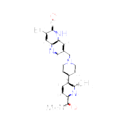 CCC1=Cc2ncc(CN3CC=C(c4ccc(C(=O)NC)nc4C)CC3)cc2NC1=C=O